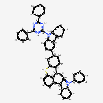 c1ccc(-c2nc(-c3ccccc3)nc(-n3c4ccccc4c4cc(-c5ccc6c(c5)Sc5cccc7c5c-6cc5c7c6ccccc6n5-c5ccccc5)ccc43)n2)cc1